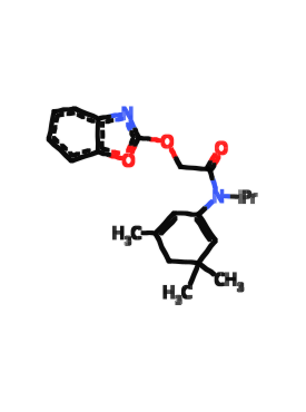 CC1=CC(N(C(=O)COc2nc3ccccc3o2)C(C)C)=CC(C)(C)C1